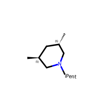 CCCC(C)N1C[C@@H](C)C[C@H](C)C1